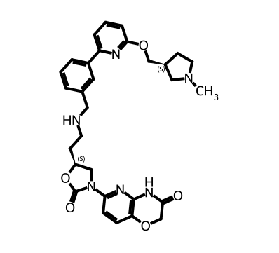 CN1CC[C@H](COc2cccc(-c3cccc(CNCC[C@H]4CN(c5ccc6c(n5)NC(=O)CO6)C(=O)O4)c3)n2)C1